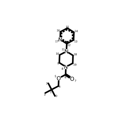 CC(C)(C)COC(=O)N1CCN(c2ccccn2)CC1